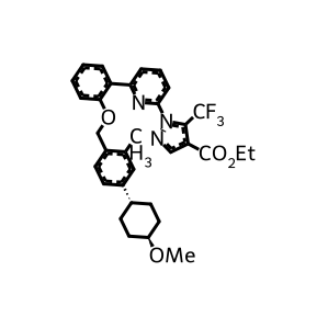 CCOC(=O)c1cnn(-c2cccc(-c3ccccc3OCc3ccc([C@H]4CC[C@H](OC)CC4)cc3C)n2)c1C(F)(F)F